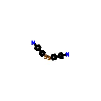 N#Cc1ccc(-c2ccc(SCSc3ccc(-c4ccc(C#N)cc4)cc3)cc2)cc1